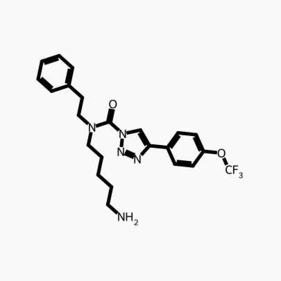 NCCCCCN(CCc1ccccc1)C(=O)n1cc(-c2ccc(OC(F)(F)F)cc2)nn1